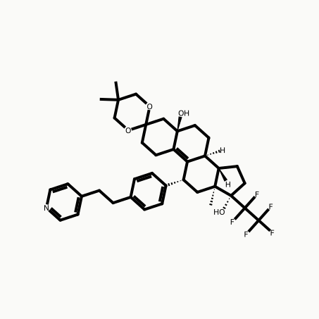 CC1(C)COC2(CCC3=C4[C@@H](CC[C@@]3(O)C2)[C@@H]2CC[C@@](O)(C(F)(F)C(F)(F)F)[C@@]2(C)C[C@@H]4c2ccc(CCc3ccncc3)cc2)OC1